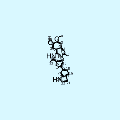 COc1cc2nc(C)nc(NC(C)c3ccc(-c4ccc5cc[nH]c5c4)s3)c2cc1OC